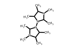 CC1C(C)N(N2C(C)C(C)N(C)C2C)C(C)N1C